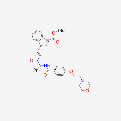 CC(C)N(NC(=O)c1ccc(OCCN2CCOCC2)cc1)C(=O)C=Cc1cn(C(=O)OC(C)(C)C)c2ccccc12